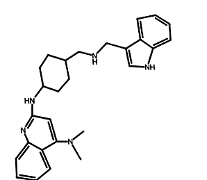 CN(C)c1cc(NC2CCC(CNCc3c[nH]c4ccccc34)CC2)nc2ccccc12